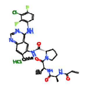 C=CC(=O)N[C@@H](C)C(=O)N[C@H](C(=O)N1CCC[C@H]1C(=O)Nc1cc2c(Nc3ccc(F)c(Cl)c3F)ncnc2cc1OC)C(C)(C)C.Cl